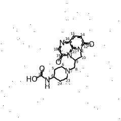 O=C(O)NC1CCN(CC2Cn3c(=O)ccc4ncc(=O)n2c43)CC1